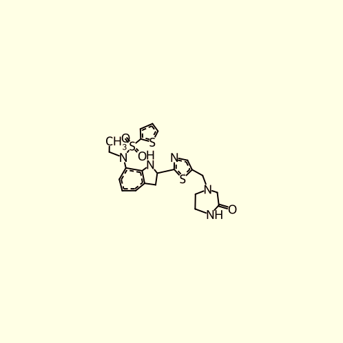 CCN(c1cccc2c1NC(c1ncc(CN3CCNC(=O)C3)s1)C2)S(=O)(=O)c1cccs1